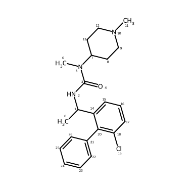 CC(NC(=O)N(C)C1CCN(C)CC1)c1cccc(Cl)c1-c1ccccc1